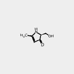 CC1=CC(=O)[C@H](CO)N1